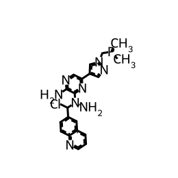 CP(C)Cn1cc(-c2cnc(N)c(N(N)C(Cl)c3ccc4ncccc4c3)n2)cn1